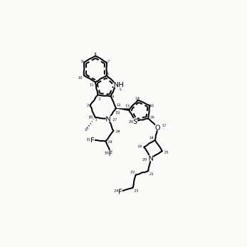 C[C@@H]1Cc2c([nH]c3ccccc23)[C@@H](c2ccc(OC3CN(CCCF)C3)s2)N1CC(F)F